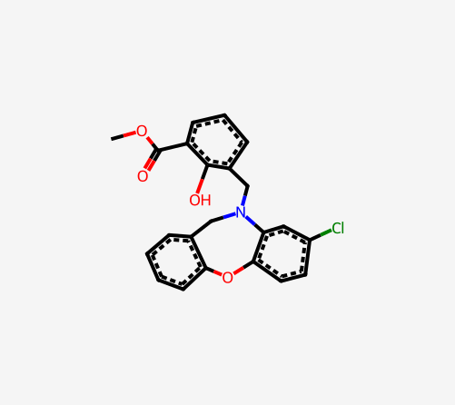 COC(=O)c1cccc(CN2Cc3ccccc3Oc3ccc(Cl)cc32)c1O